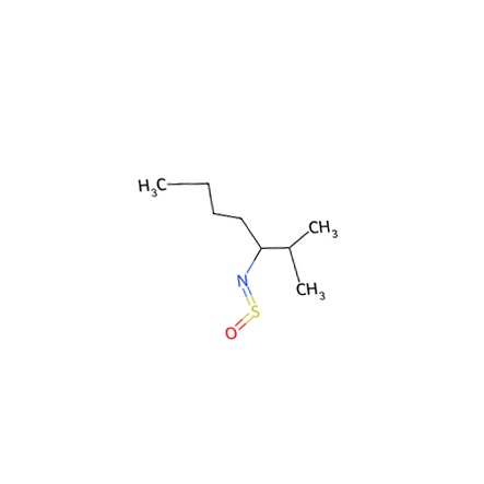 CCCCC(N=S=O)C(C)C